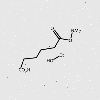 CCO.CNOC(=O)CCCCC(=O)O